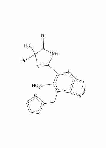 CC(C)C1(C)N=C(c2nc3ccsc3c(Cc3ccco3)c2C(=O)O)NC1=O